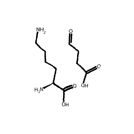 NCCCC[C@H](N)C(=O)O.O=CCCC(=O)O